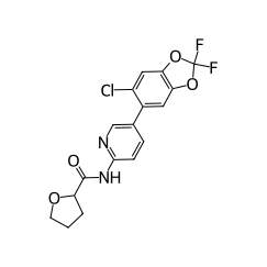 O=C(Nc1ccc(-c2cc3c(cc2Cl)OC(F)(F)O3)cn1)C1CCCO1